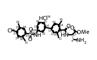 COC(=O)[C@H](CN)NC(=O)c1c(C)cc(-c2cccc(NS(=O)(=O)c3cc(C)c(Cl)cc3C)c2)cc1C.Cl